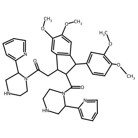 COc1ccc(C2c3cc(OC)c(OC)cc3C(CC(=O)N3CCNCC3c3ccccn3)C2C(=O)N2CCNCC2c2ccccn2)cc1OC